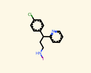 Clc1ccc(C(CCNI)c2ccccn2)cc1